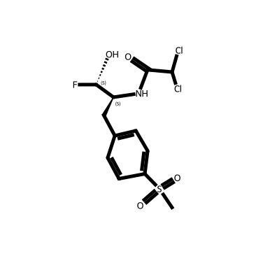 CS(=O)(=O)c1ccc(C[C@H](NC(=O)C(Cl)Cl)[C@@H](O)F)cc1